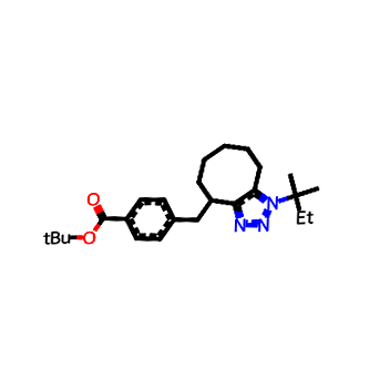 CCC(C)(C)n1nnc2c1CCCCCC2Cc1ccc(C(=O)OC(C)(C)C)cc1